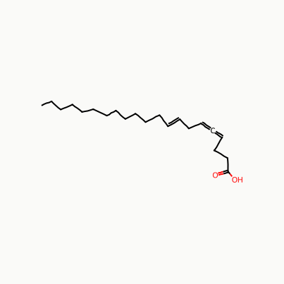 CCCCCCCCCCCCC=CCC=C=CCCC(=O)O